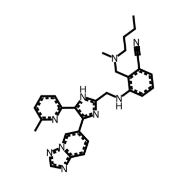 CCCCN(C)Cc1c(C#N)cccc1NCc1nc(-c2ccc3ncnn3c2)c(-c2cccc(C)n2)[nH]1